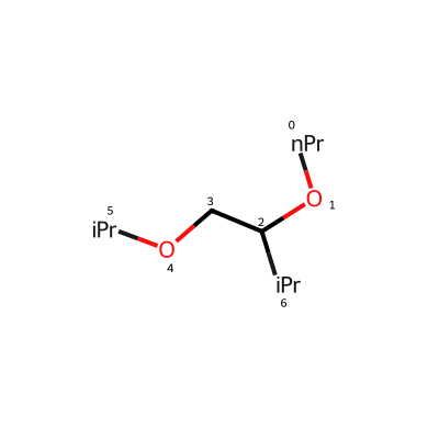 CCCOC(COC(C)C)C(C)C